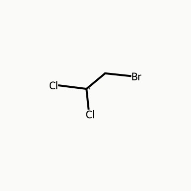 Cl[C](Cl)CBr